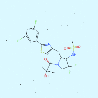 CC(C)(O)C(=O)N1CC(F)(F)C(NS(C)(=O)=O)C1Cc1csc(-c2cc(F)cc(F)c2)n1